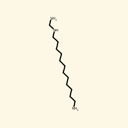 NCCCCCCCCCCCCNC[SiH3]